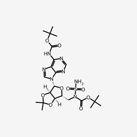 CC(C)(C)OC(=O)Nc1ncnc2c1ncn2[C@@H]1O[C@H](CN(C(=O)OC(C)(C)C)S(N)(=O)=O)[C@H]2OC(C)(C)O[C@H]21